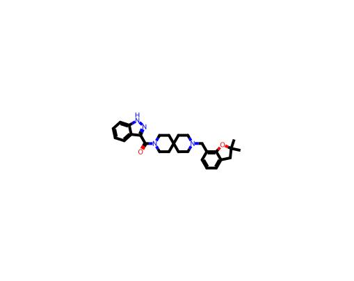 CC1(C)Cc2cccc(CN3CCC4(CC3)CCN(C(=O)c3n[nH]c5ccccc35)CC4)c2O1